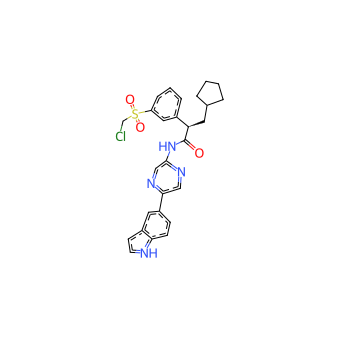 O=C(Nc1cnc(-c2ccc3[nH]ccc3c2)cn1)[C@H](CC1CCCC1)c1cccc(S(=O)(=O)CCl)c1